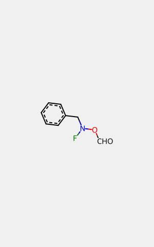 O=CON(F)Cc1ccccc1